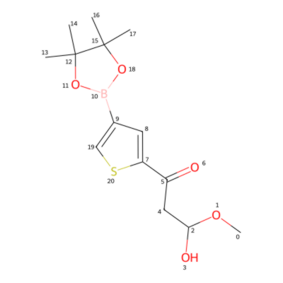 COC(O)CC(=O)c1cc(B2OC(C)(C)C(C)(C)O2)cs1